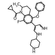 CC1CCc2c(Oc3ccccc3)c(/C(C=N)=C/NC3CCNCC3)cc(F)c2N1C(=O)C1CC1